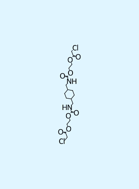 O=C(CCl)OCCOC(=O)NCC1CCC(CNC(=O)OCCOC(=O)CCl)CC1